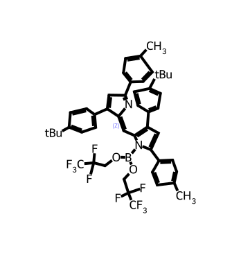 Cc1ccc(C2=N/C(=C\c3c(-c4ccc(C(C)(C)C)cc4)cc(-c4ccc(C)cc4)n3B(OCC(F)(F)C(F)(F)F)OCC(F)(F)C(F)(F)F)C(c3ccc(C(C)(C)C)cc3)=C2)cc1